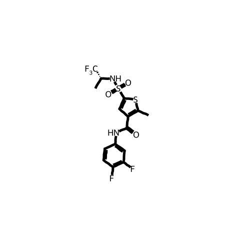 Cc1sc(S(=O)(=O)N[C@H](C)C(F)(F)F)cc1C(=O)Nc1ccc(F)c(F)c1